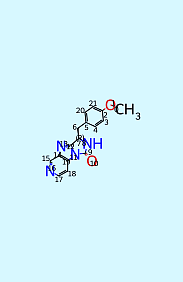 COc1ccc(C[C@H]2NC(=O)n3c2nc2cnccc23)cc1